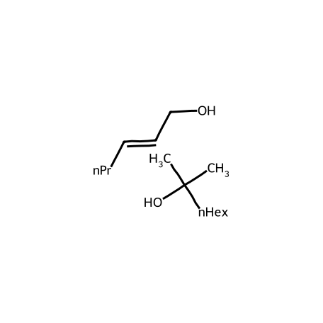 CCCC=CCO.CCCCCCC(C)(C)O